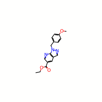 CCOC(=O)c1cnc2c(cnn2Cc2ccc(OC)cc2)c1